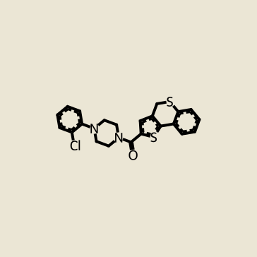 O=C(c1cc2c(s1)-c1ccccc1SC2)N1CCN(c2ccccc2Cl)CC1